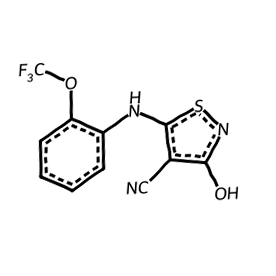 N#Cc1c(O)nsc1Nc1ccccc1OC(F)(F)F